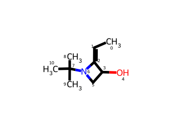 C/C=C1\C(O)CN1C(C)(C)C